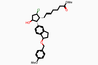 COC(=O)CCCC=CC[C@H]1[C@H](Cl)CC(O)[C@H]1c1ccc2c(c1)CCC2OCc1ccc(OC)cc1